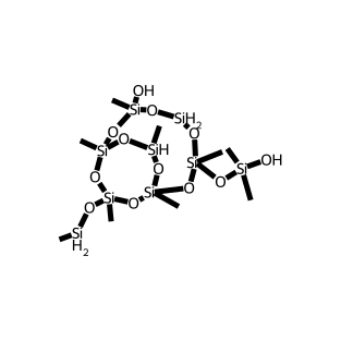 C[SiH2]O[Si]1(C)O[Si]2(C)O[SiH](C)O[Si](C)(O[Si](C)(O[Si](C)(C)O)O[SiH2]O[Si](C)(O)O2)O1